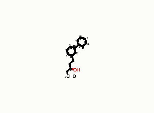 O=CCC(O)CCc1cccc(-c2ccccc2)c1